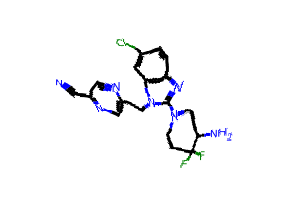 N#Cc1cnc(Cn2c(N3CCC(F)(F)C(N)C3)nc3ccc(Cl)cc32)cn1